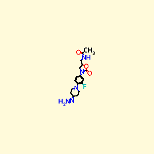 CC(=O)NCC1CN(c2ccc(N3CCC(=NN)CC3)c(F)c2)C(=O)O1